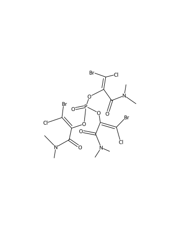 CN(C)C(=O)/C(OP(=O)(O/C(C(=O)N(C)C)=C(/Cl)Br)O/C(C(=O)N(C)C)=C(/Cl)Br)=C(\Cl)Br